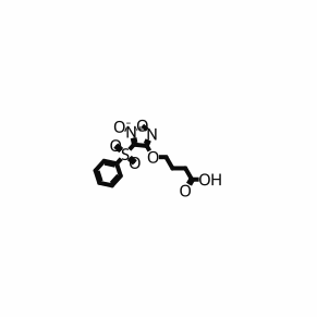 O=C(O)CCCOc1no[n+]([O-])c1S(=O)(=O)c1ccccc1